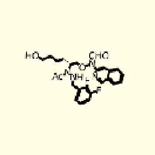 CC(=O)N(NCc1cccc(F)c1F)[C@H](CCCCO)CON(C=O)c1cc2ccccc2cn1